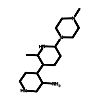 CC1NC(N2CCN(C)CC2)CCC1C1CCNCC1N